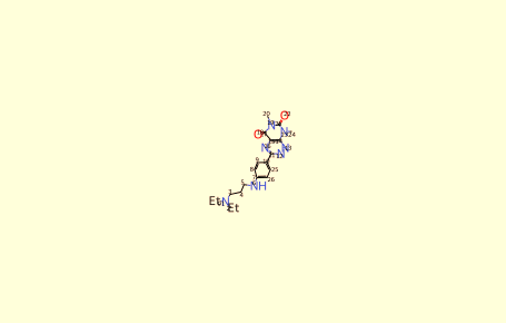 CCN(CC)CCCNc1ccc(-c2nnc3c(n2)c(=O)n(C)c(=O)n3C)cc1